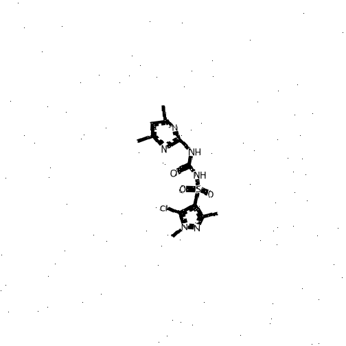 Cc1cc(C)nc(NC(=O)NS(=O)(=O)c2c(C)nn(C)c2Cl)n1